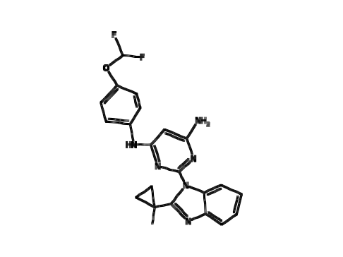 CC1(c2nc3ccccc3n2-c2nc(N)cc(Nc3ccc(OC(F)F)cc3)n2)CC1